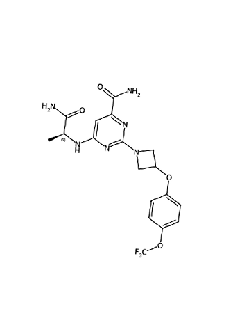 C[C@H](Nc1cc(C(N)=O)nc(N2CC(Oc3ccc(OC(F)(F)F)cc3)C2)n1)C(N)=O